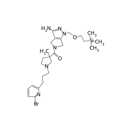 CC1(C(=O)N2Cc3c(N)nn(COCC[Si](C)(C)C)c3C2)CCN(CCCc2cccc(Br)n2)C1